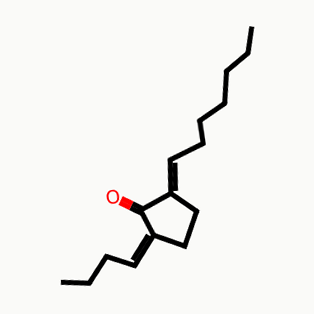 CCCC=C1CCC(=CCCCCCC)C1=O